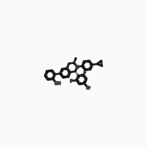 C[C@@H]1Cc2cc(-c3ccccc3O)ccc2[C@@H](c2c(F)cc(Br)cc2F)N1c1ccc(C2CC2)cc1